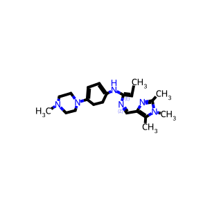 C/C=C(/N=C\c1nc(C)n(C)c1C)NC1=CC=C(N2CCN(C)CC2)CC1